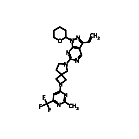 C=Cc1nn(C2CCCCO2)c2nc(N3CCC4(CN(c5cc(C(F)(F)F)nc(C)n5)C4)C3)ncc12